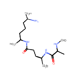 CCOC(=O)C(N)CCCC(NC(=O)CCC(NC(=O)C(C)NC=O)C(=O)OCC)C(=O)O